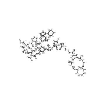 CC[C@H](C)[C@@H]([C@@H](CC(=O)N1CCC[C@H]1[C@H](OC)[C@@H](C)C(=O)N[C@@H](Cc1ccccc1)c1nccs1)OC)N(C)C(=O)CNC(=O)C(C(C)C)N(C)C(=O)OCc1ccc(NC(=O)CNC(=O)C(NC(=O)CSCCC(=O)C2CN3CN(C2)C(=O)CCSC2CCCCCC(C2)SCCC3=O)C(C)C)cc1